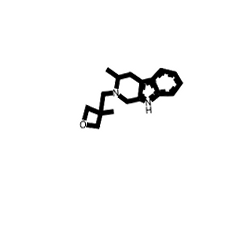 CC1Cc2c([nH]c3ccccc23)CN1CC1(C)COC1